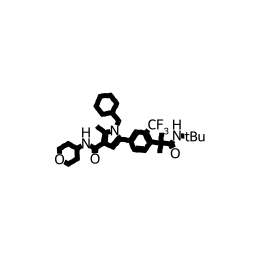 Cc1c(C(=O)NC2CCOCC2)cc(-c2ccc(C(C)(C)C(=O)NC(C)(C)C)c(C(F)(F)F)c2)n1CC1CCCCC1